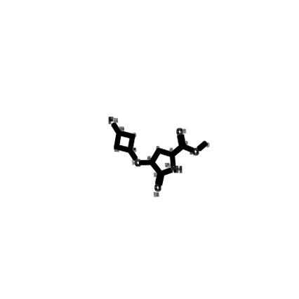 COC(=O)C1CC(OC2CC(F)C2)C(=O)N1